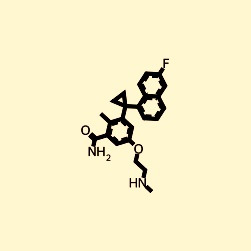 CNCCOc1cc(C(N)=O)c(C)c(C2(c3cccc4cc(F)ccc34)CC2)c1